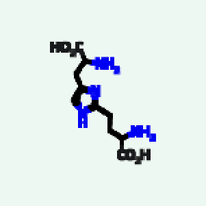 NC(CCc1nc(CC(N)C(=O)O)c[nH]1)C(=O)O